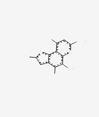 Nc1c(O)c2cc(C(=O)O)[nH]c2c2c(C(=O)O)cc(C(=O)O)nc12